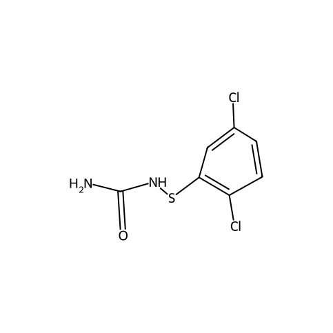 NC(=O)NSc1cc(Cl)ccc1Cl